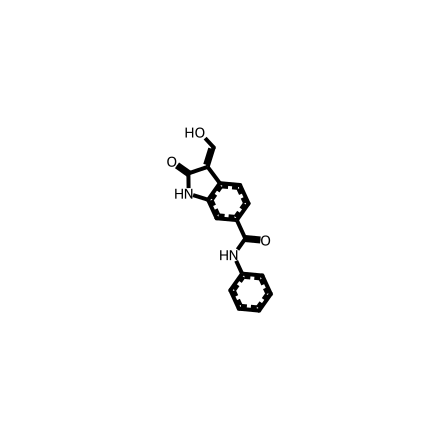 O=C1Nc2cc(C(=O)Nc3ccccc3)ccc2C1=CO